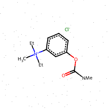 CC[N+](C)(CC)c1cccc(OC(=O)NC)c1.[Cl-]